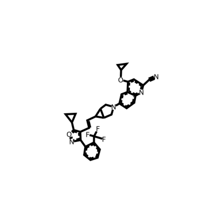 N#Cc1cc(OC2CC2)c2cc(N3CC4C(/C=C/c5c(-c6ccccc6C(F)(F)F)noc5C5CC5)C4C3)ccc2n1